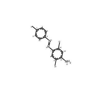 Cc1ccc(/N=N/c2cc(C)c(N)cc2C)cc1